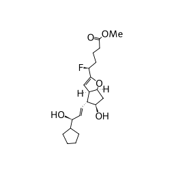 COC(=O)CCC[C@H](F)C1=C[C@@H]2[C@@H](/C=C/[C@H](O)C3CCCC3)[C@H](O)C[C@@H]2O1